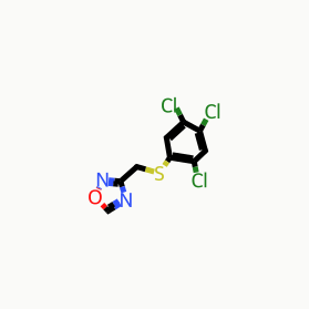 Clc1cc(Cl)c(SCc2ncon2)cc1Cl